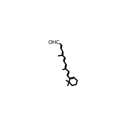 CC(/C=C/C=C(C)/C=C/C1=CCCCC1(C)C)=C\C=C\C=O